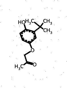 CC(=O)COc1ccc(O)c(C(C)(C)C)c1